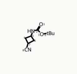 CC(C)(C)OC(=O)NC1CC(C#N)C1